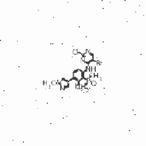 Cc1c(-c2cnn(C)c2)ccc(Nc2nc(Cl)ncc2Br)c1P(C)(C)=O